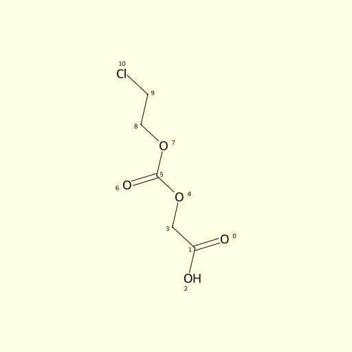 O=C(O)COC(=O)OCCCl